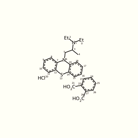 CCN(CC)C(C)CN1c2ccccc2Sc2ccccc21.Cl.O=C(O)c1ccccc1C(=O)O